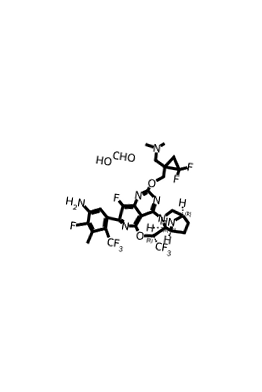 Cc1c(F)c(N)cc(-c2nc3c4c(nc(OCC5(CN(C)C)CC5(F)F)nc4c2F)N2C[C@H]4CC[C@H](N4)[C@H]2[C@H](C(F)(F)F)O3)c1C(F)(F)F.O=CO